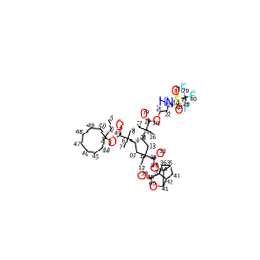 CCC1(OC(=O)C(C)(C)CCC(C)(CCC(C)(C)C(=O)OCCNS(=O)(=O)C(F)(F)F)C(=O)OC2C3CC4C(=O)OC2C4C3)CCCCCCC1